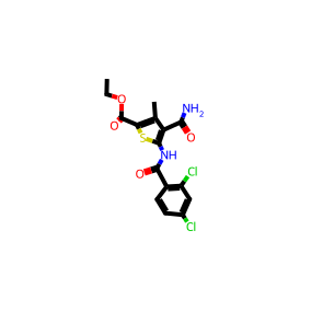 CCOC(=O)c1sc(NC(=O)c2ccc(Cl)cc2Cl)c(C(N)=O)c1C